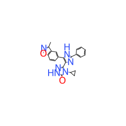 Cc1noc2ccc(-c3[nH]c(-c4ccccc4)nc3-c3n[nH]c(=O)n3C3CC3)cc12